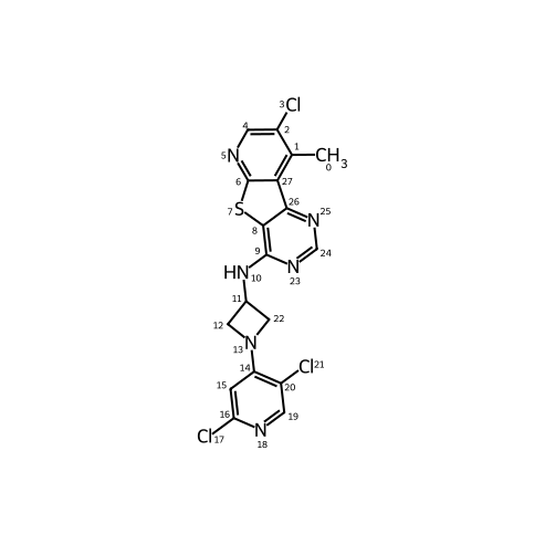 Cc1c(Cl)cnc2sc3c(NC4CN(c5cc(Cl)ncc5Cl)C4)ncnc3c12